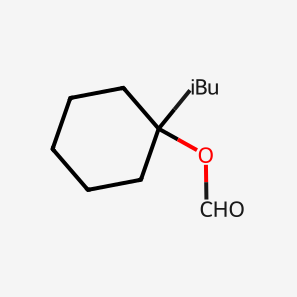 CCC(C)C1(OC=O)CCCCC1